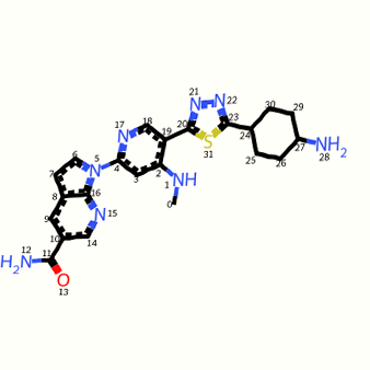 CNc1cc(-n2ccc3cc(C(N)=O)cnc32)ncc1-c1nnc(C2CCC(N)CC2)s1